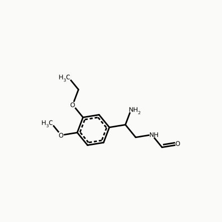 CCOc1cc(C(N)CNC=O)ccc1OC